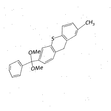 COC(OC)(c1ccccc1)c1ccc2c(c1)Sc1ccc(C)cc1C2